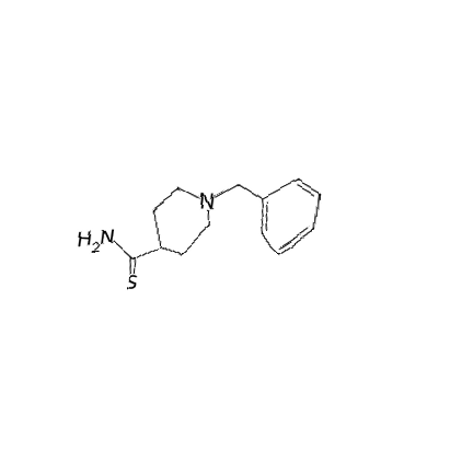 NC(=S)C1CCN(Cc2ccccc2)CC1